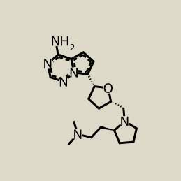 CN(C)CC[C@@H]1CCCN1C[C@@H]1CC[C@H](c2ccc3c(N)ncnn23)O1